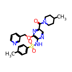 Cc1ccc(S(=O)(=O)Nc2ncc(C(=O)N3CCC(C)CC3)nc2OCc2cccnc2)cc1